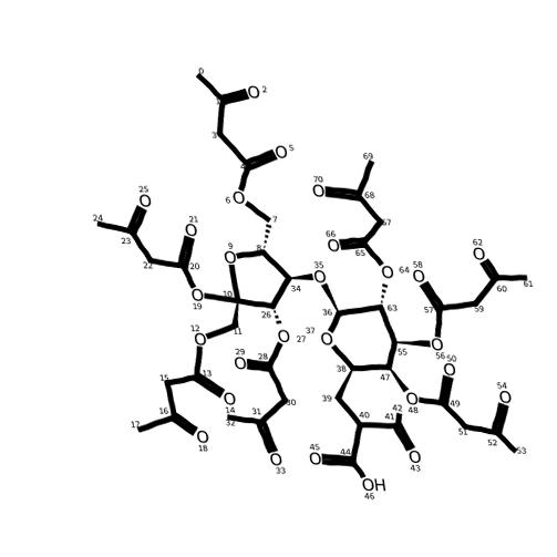 CC(=O)CC(=O)OC[C@H]1O[C@@](COC(=O)CC(C)=O)(OC(=O)CC(C)=O)[C@@H](OC(=O)CC(C)=O)[C@@H]1O[C@@H]1O[C@H](CC(C(C)=O)C(=O)O)[C@H](OC(=O)CC(C)=O)[C@H](OC(=O)CC(C)=O)[C@H]1OC(=O)CC(C)=O